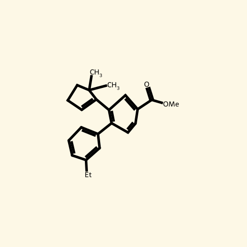 CCc1cccc(-c2ccc(C(=O)OC)cc2C2=CCCC2(C)C)c1